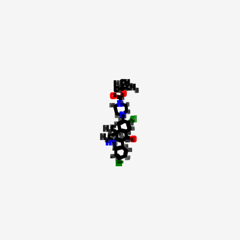 CC(C)(C)OC(=O)N1CCN(c2cc3c(cc2Cl)C(=O)c2c([nH]c4cc(Br)ccc24)C3(C)C)CC1